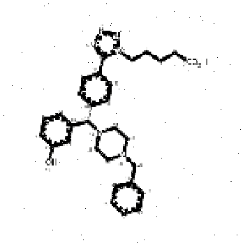 O=C(O)CCCCn1nnnc1-c1ccc([C@@H](c2cccc(O)c2)N2CCN(Cc3ccccc3)CC2)cc1